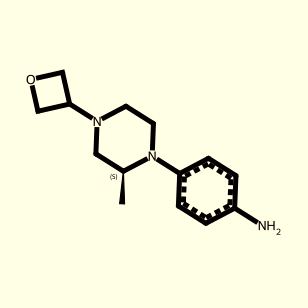 C[C@H]1CN(C2COC2)CCN1c1ccc(N)cc1